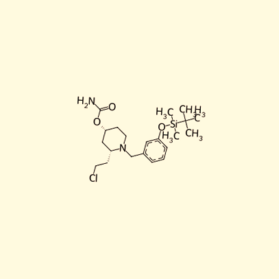 CC(C)(C)[Si](C)(C)Oc1cccc(CN2CC[C@@H](OC(N)=O)C[C@H]2CCCl)c1